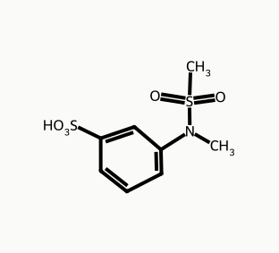 CN(c1cccc(S(=O)(=O)O)c1)S(C)(=O)=O